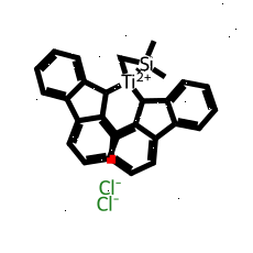 C[Si]1(C)[CH2][Ti+2]1([CH]1c2ccccc2-c2ccccc21)[CH]1c2ccccc2-c2ccccc21.[Cl-].[Cl-]